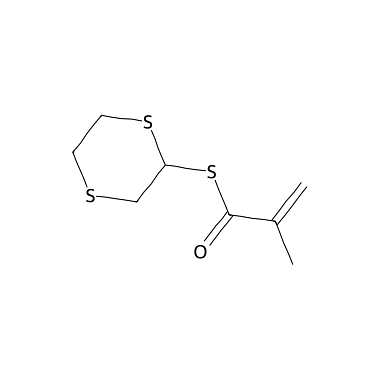 C=C(C)C(=O)SC1CSCCS1